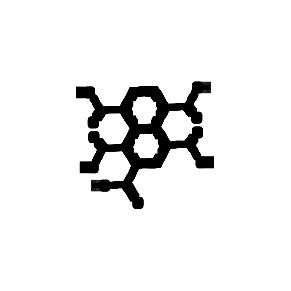 O=C(O)c1cc(C(=O)O)c2c(C(=O)O)ccc(C(=O)O)c2c1C(=O)O